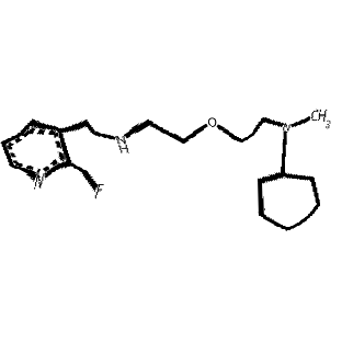 CN(CCOCCNCc1cccnc1F)C1CCCCC1